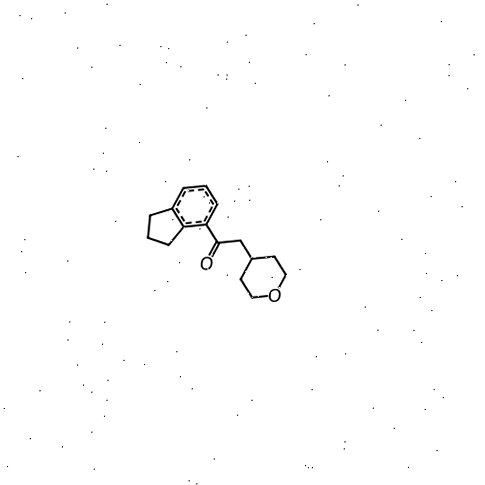 O=C(CC1CCOCC1)c1cccc2c1CCC2